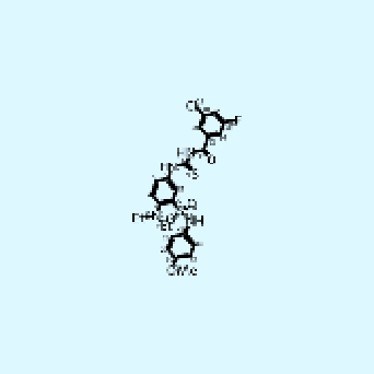 CCN(CC)c1ccc(NC(=S)NC(=O)c2cc(F)cc(Cl)c2)cc1S(=O)(=O)Nc1ccc(OC)cc1